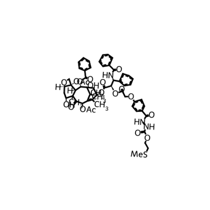 CSCCOC(=O)NNC(=O)c1ccc(OCC(=O)O[C@@H](C(=O)O[C@H]2C[C@@]3(O)[C@@H](OC(=O)c4ccccc4)[C@@H]4[C@]5(OC(C)=O)CO[C@@H]5C[C@H](O)[C@@]4(C)C(=O)[C@H](OC(C)=O)C(=C2C)C3(C)C)[C@@H](NC(=O)c2ccccc2)c2ccccc2)cc1